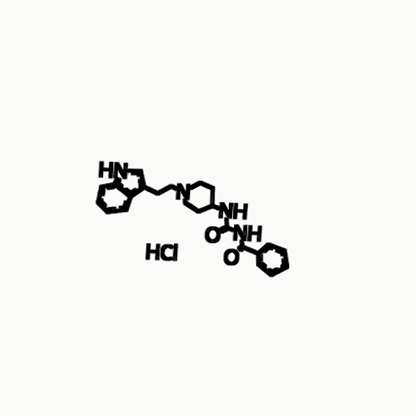 Cl.O=C(NC(=O)c1ccccc1)NC1CCN(CCc2c[nH]c3ccccc23)CC1